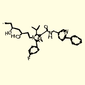 [CH2]CC(O)CC(O)CCn1c(-c2ccc(F)cc2)nc(C(=O)NCc2ccc(-c3ccccc3)nc2)c1C(C)C